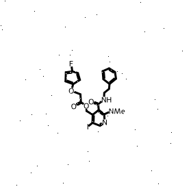 CNc1ncc(I)c(COC(=O)COc2ccc(F)cc2)c1C(=O)NCCc1ccccc1